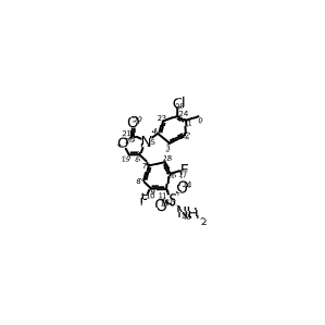 Cc1ccc(-n2c(-c3cc(F)c(S(N)(=O)=O)c(F)c3)coc2=O)cc1Cl